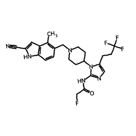 Cc1c(CN2CCC(n3c(CCC(F)(F)F)cnc3NC(=O)CF)CC2)ccc2[nH]c(C#N)cc12